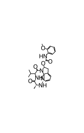 CN[C@@H](C)C(=O)N[C@H](C(=O)N1c2ncccc2C[C@@H]1OC(=O)Nc1ccccc1OC)C(C)C